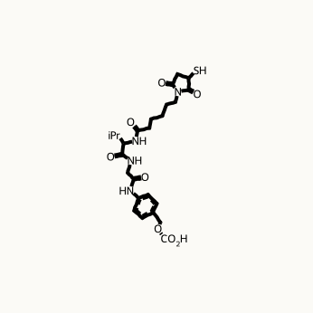 CC(C)C(NC(=O)CCCCCN1C(=O)CC(S)C1=O)C(=O)NCC(=O)Nc1ccc(COC(=O)O)cc1